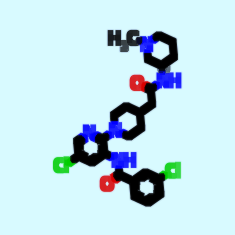 CN1CCC[C@@H](NC(=O)CC2CCN(c3ncc(Cl)cc3NC(=O)c3cccc(Cl)c3)CC2)C1